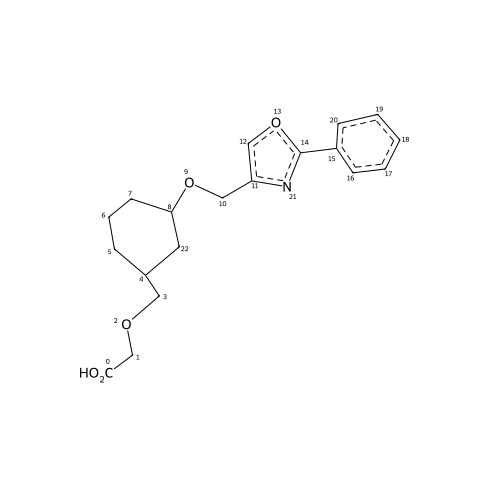 O=C(O)COCC1CCCC(OCc2coc(-c3ccccc3)n2)C1